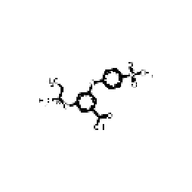 CC[C@H](C)Oc1cc(Oc2ccc(S(C)(=O)=O)cc2)cc(C(=O)O)c1